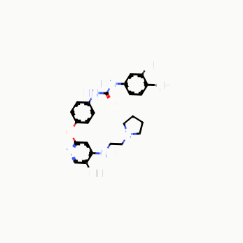 Cc1cnc(Oc2ccc(NC(=O)Nc3ccc(C)c(C(F)(F)F)c3)cc2)cc1NCCN1CCCC1